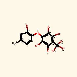 Cc1ccc(Oc2c(Br)c(Br)c(C(Br)(Br)Br)c(Br)c2Br)c(Br)c1